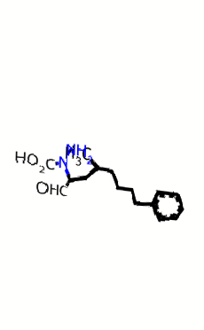 CC(CCCCc1ccccc1)CC(C=O)N(N)C(=O)O